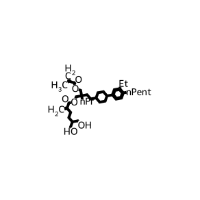 C=C(C)C(=O)OCC(CCC)(CCC1CCC(c2ccc(CCCCC)c(CC)c2)CC1)COC(=O)C(=C)CCC(CO)CO